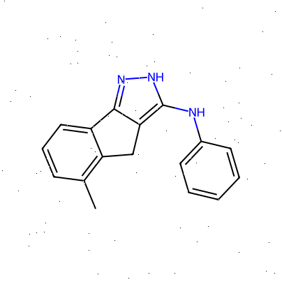 Cc1cccc2c1Cc1c-2n[nH]c1Nc1ccccc1